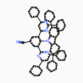 N#Cc1cc(-c2cc(-c3ccccc3)nc(-c3ccccc3)n2)c(-n2c3cc(-c4ccccc4)ccc3c3ccc(-c4ccccc4)cc32)c(-c2nc(-c3ccccc3)cc(-c3ccccc3)n2)c1